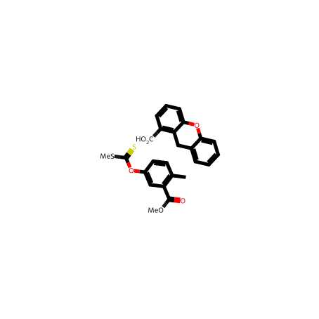 COC(=O)c1cc(OC(=S)SC)ccc1C.O=C(O)c1cccc2c1Cc1ccccc1O2